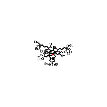 CCO[Si](CCCS(S)(SS)C(=C(CC)C(CCC(C)C)(S(S)(CCC[Si](OCC)(OCC)OCC)SS)S(S)(CCC[Si](OCC)(OCC)OCC)SS)S(S)(CCC[Si](OCC)(OCC)OCC)SS)(OCC)OCC